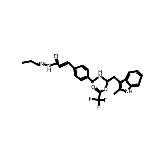 CCCNNC(=O)/C=C/c1ccc(CNC(Cc2c(C)[nH]c3ccccc23)OC(=O)C(F)(F)F)cc1